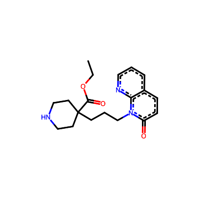 CCOC(=O)C1(CCCn2c(=O)ccc3cccnc32)CCNCC1